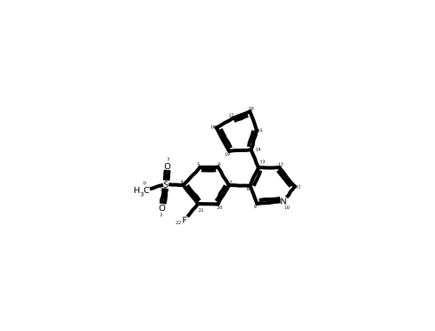 CS(=O)(=O)c1ccc(-c2cnccc2-c2ccccc2)cc1F